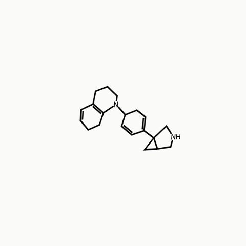 C1=CC2=C(CC1)N(C1C=CC(C34CNCC3C4)=CC1)CCC2